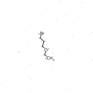 CCOCCCBr